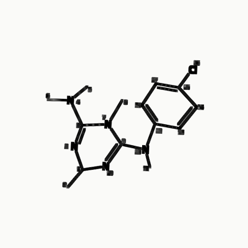 CC1N=C(N(C)C)N(C)C(N(C)c2ccc(Cl)cc2)=N1